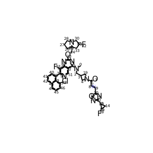 CN(CC1CN(C(=O)/C=C/c2nc([C@H]3C[C@@H]3F)no2)C1)c1nc(OC[C@@]23CCCN2C[C@H](F)C3)nc2c(F)c(-c3cccc4cccc(Cl)c34)ncc12